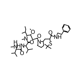 CCC(C)C(C(CC(=O)N1CCCC1CC(SC(C)(C)C)C(=O)NCCc1ccccc1)OC)N(C)C(=O)C(NC(=O)C(NC)C(C)C)C(C)C